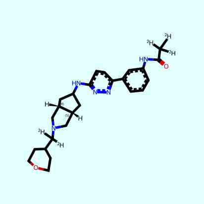 [2H]C([2H])([2H])C(=O)Nc1cccc(-c2ccc(NC3C[C@@H]4CN(C([2H])([2H])C5CCOCC5)C[C@@H]4C3)nn2)c1